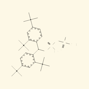 CC(C)(C)c1ccc(C(OP(=O)(O)O[P](=O)(O)[AlH])c2ccc(C(C)(C)C)cc2C(C)(C)C)c(C(C)(C)C)c1